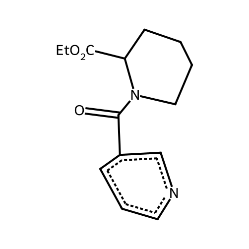 CCOC(=O)C1CCCCN1C(=O)c1cccnc1